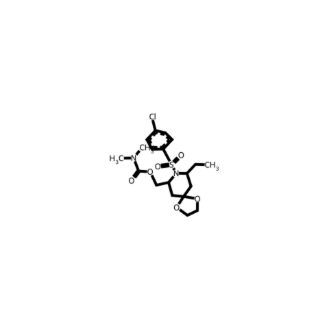 CCC1CC2(CC(COC(=O)N(C)C)N1S(=O)(=O)c1ccc(Cl)cc1)OCCO2